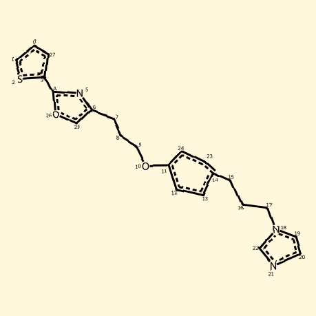 c1csc(-c2nc(CCCOc3ccc(CCCn4ccnc4)cc3)co2)c1